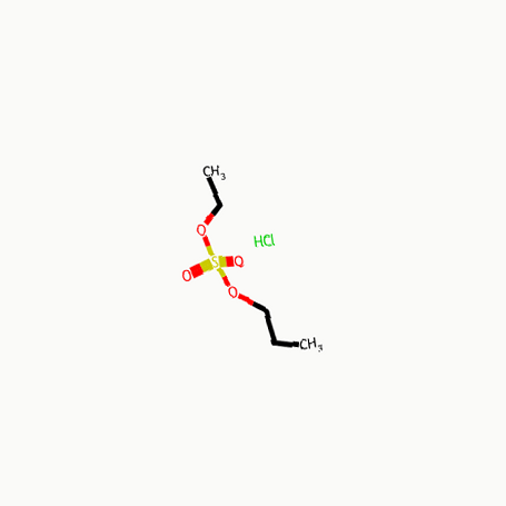 CCCOS(=O)(=O)OCC.Cl